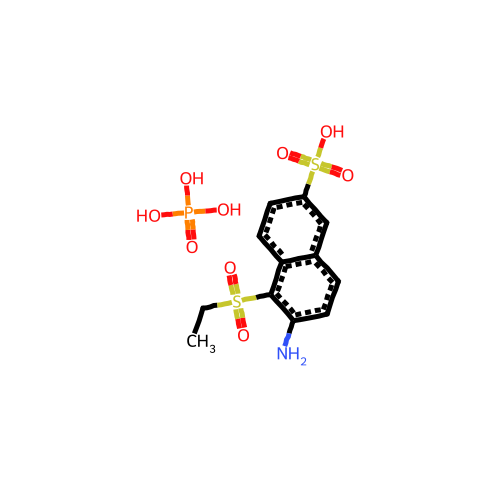 CCS(=O)(=O)c1c(N)ccc2cc(S(=O)(=O)O)ccc12.O=P(O)(O)O